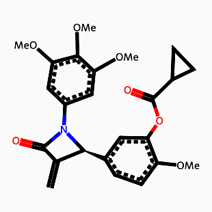 C=C1C(=O)N(c2cc(OC)c(OC)c(OC)c2)[C@H]1c1ccc(OC)c(OC(=O)C2CC2)c1